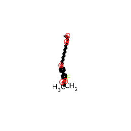 C=C(C)C(=O)Oc1ccc(-c2ccc(OCCCCCCCCCCCOCC3CO3)cc2)cc1F